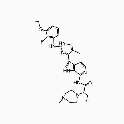 CCSc1cccc(NC2N=C(c3c[nH]c4c(NC(=O)C(CC)N5CCN(C)CC5)nccc34)C(C)=CN2)c1F